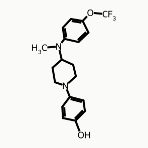 CN(c1ccc(OC(F)(F)F)cc1)C1CCN(c2ccc(O)cc2)CC1